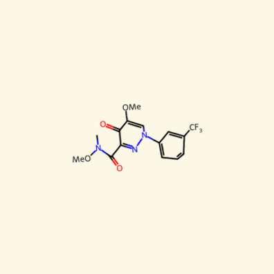 COc1cn(-c2cccc(C(F)(F)F)c2)nc(C(=O)N(C)OC)c1=O